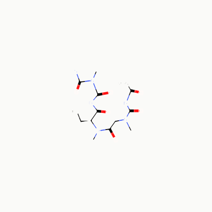 CNC(=O)NC(=O)N(C)CC(=O)N(C)[C@@H](CC(C)C)C(=O)NC(=O)N(C)C(N)=O